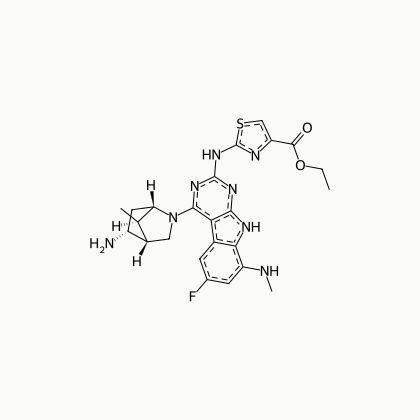 CCOC(=O)c1csc(Nc2nc(N3C[C@H]4[C@@H](C)[C@@H]3C[C@H]4N)c3c(n2)[nH]c2c(NC)cc(F)cc23)n1